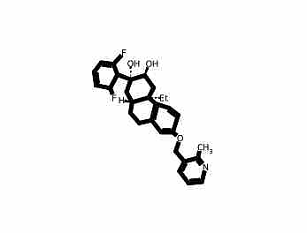 CC[C@@]12C[C@H](O)[C@](O)(C3C(F)=CC=CC3F)C[C@H]1CCc1cc(OCc3cccnc3C)ccc12